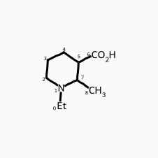 CCN1CCCC(C(=O)O)C1C